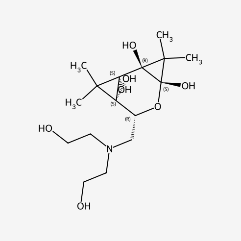 CC1(C)[C@@]2(O)[C@]3(O)C(C)(C)[C@]3(O)[C@@H](CN(CCO)CCO)O[C@@]12O